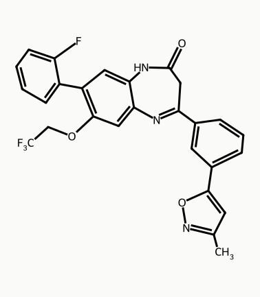 Cc1cc(-c2cccc(C3=Nc4cc(OCC(F)(F)F)c(-c5ccccc5F)cc4NC(=O)C3)c2)on1